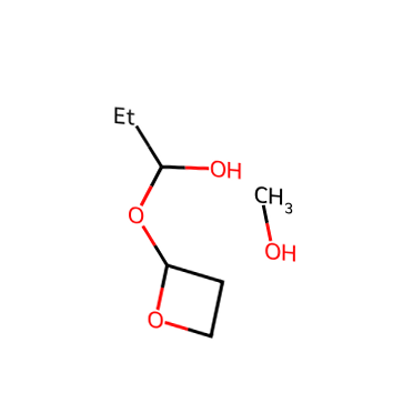 CCC(O)OC1CCO1.CO